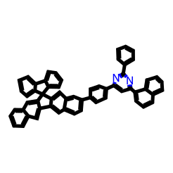 c1ccc(-c2nc(-c3ccc(-c4ccc5cc6c(cc5c4)C4(c5ccccc5-c5ccccc54)c4cc5ccccc5cc4-6)cc3)cc(-c3cccc4ccccc34)n2)cc1